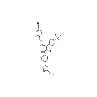 Cn1cc(-c2ccc(NC(=O)[C@@H](NCCc3ccc(C#N)cc3)c3ccc(C(F)(F)F)cc3)nc2)cn1